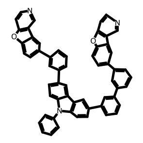 c1ccc(-n2c3ccc(-c4cccc(-c5cccc(-c6ccc7oc8ccncc8c7c6)c5)c4)cc3c3cc(-c4cccc(-c5ccc6oc7ccncc7c6c5)c4)ccc32)cc1